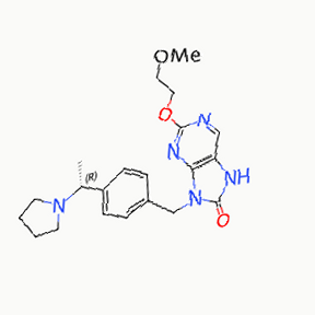 COCCOc1ncc2[nH]c(=O)n(Cc3ccc([C@@H](C)N4CCCC4)cc3)c2n1